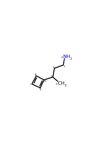 CC(CCN)C1=CC=C1